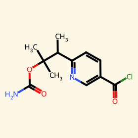 CC(c1ccc(C(=O)Cl)cn1)C(C)(C)OC(N)=O